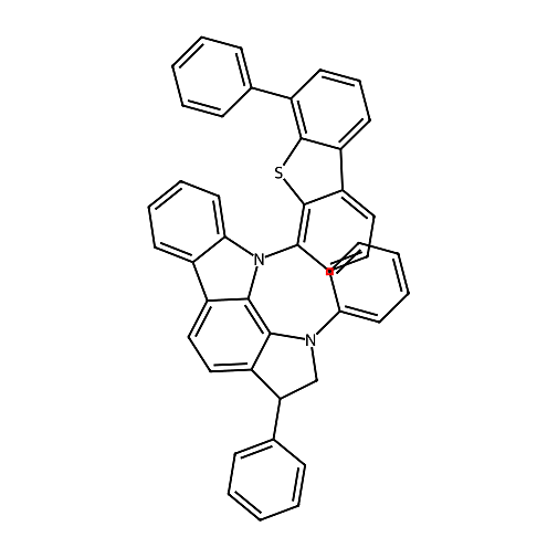 c1ccc(-c2cccc3c2sc2c(-n4c5ccccc5c5ccc6c(c54)N(c4ccccc4)CC6c4ccccc4)cccc23)cc1